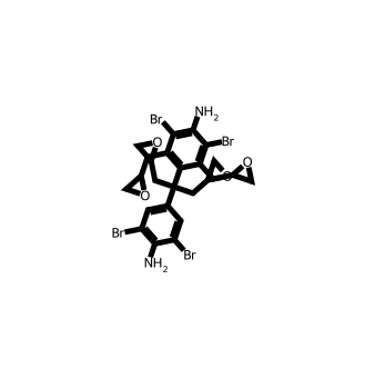 Nc1c(Br)cc(C(CC2CO2)(CC2CO2)c2c(CC3CO3)c(Br)c(N)c(Br)c2CC2CO2)cc1Br